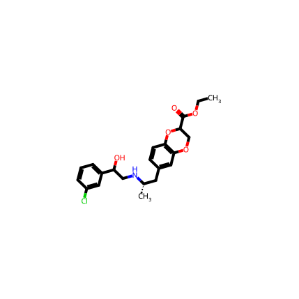 CCOC(=O)C1COc2cc(C[C@H](C)NCC(O)c3cccc(Cl)c3)ccc2O1